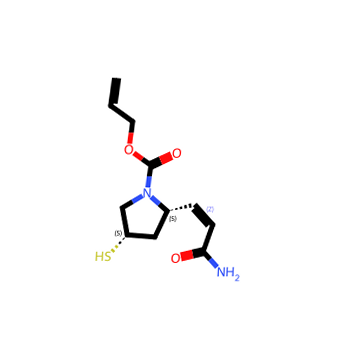 C=CCOC(=O)N1C[C@@H](S)C[C@H]1/C=C\C(N)=O